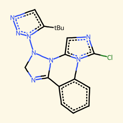 CC(C)(C)c1cnnn1N1CN=C2c3ccccc3-n3c(cnc3Cl)N21